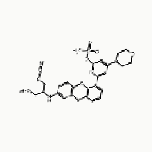 COCC(CN=[N+]=[N-])Nc1ccc2c(c1)Sc1cccc(-c3cc(N4CCOCC4)cc(OS(C)(=O)=O)n3)c1S2